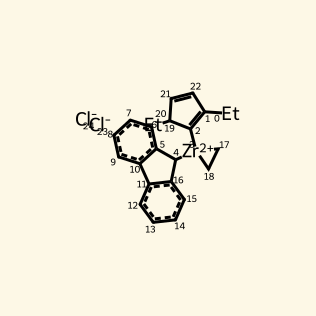 CCC1=[C]([Zr+2]2([CH]3c4ccccc4-c4ccccc43)[CH2][CH2]2)C(CC)C=C1.[Cl-].[Cl-]